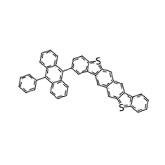 c1ccc(-c2c3ccccc3c(-c3ccc4sc5cc6cc7c(cc6cc5c4c3)sc3ccccc37)c3ccccc23)cc1